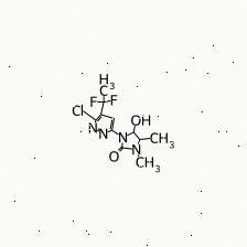 CC1C(O)N(c2cc(C(C)(F)F)c(Cl)nn2)C(=O)N1C